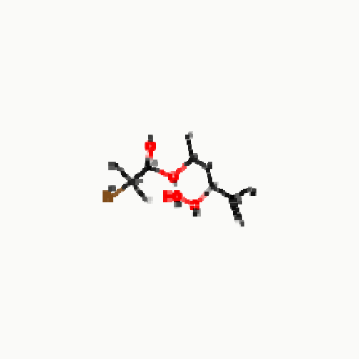 C=C(C)C(CC(C)OC(=O)C(C)(C)Br)OO